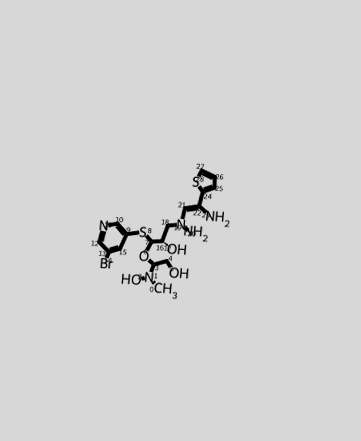 CN(O)C(CO)OC(Sc1cncc(Br)c1)[C@@H](O)CN(N)/C=C(\N)c1cccs1